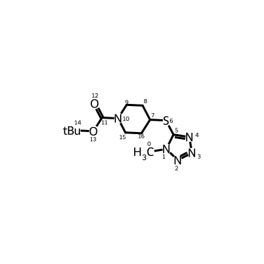 Cn1nnnc1SC1CCN(C(=O)OC(C)(C)C)CC1